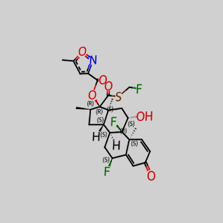 Cc1cc(C(=O)O[C@]2(C(=O)SCF)[C@H](C)C[C@H]3[C@@H]4C[C@H](F)C5=CC(=O)C=C[C@]5(C)[C@@]4(F)[C@@H](O)C[C@@]32C)no1